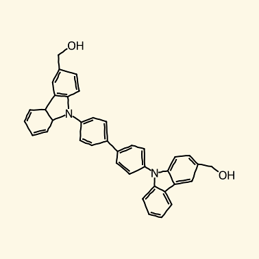 OCc1ccc2c(c1)C1C=CC=CC1N2c1ccc(-c2ccc(-n3c4ccccc4c4cc(CO)ccc43)cc2)cc1